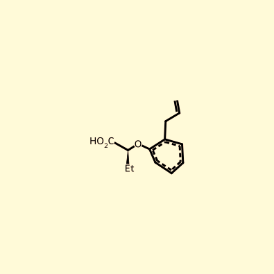 C=CCc1ccccc1O[C@@H](CC)C(=O)O